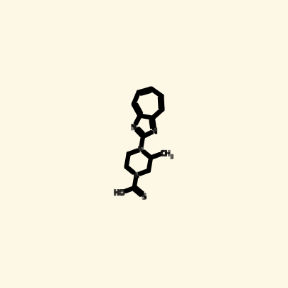 CC1CN(C(O)=S)CCN1c1nc2cccccc-2n1